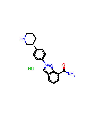 Cl.NC(=O)c1cccc2cn(-c3ccc([C@@H]4CCCNC4)cc3)nc12